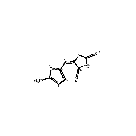 Cc1ccc(C=C2SC(=S)NC2=O)o1